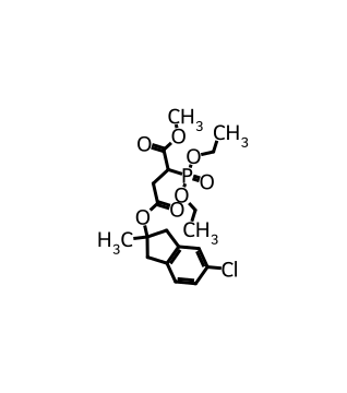 CCOP(=O)(OCC)C(CC(=O)OC1(C)Cc2ccc(Cl)cc2C1)C(=O)OC